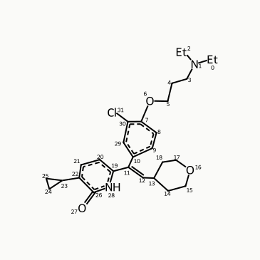 CCN(CC)CCCOc1ccc(/C(=C\C2CCOCC2)c2ccc(C3CC3)c(=O)[nH]2)cc1Cl